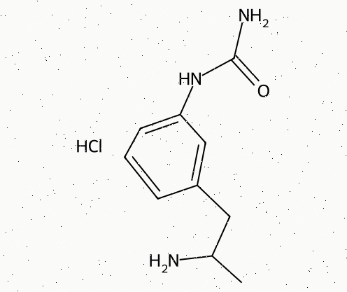 CC(N)Cc1cccc(NC(N)=O)c1.Cl